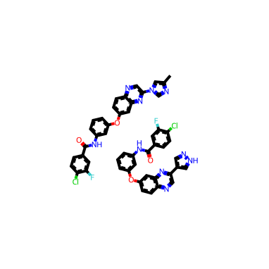 Cc1cn(-c2cnc3ccc(Oc4cccc(NC(=O)c5ccc(Cl)c(F)c5)c4)cc3n2)cn1.O=C(Nc1cccc(Oc2ccc3ncc(-c4cn[nH]c4)nc3c2)c1)c1ccc(Cl)c(F)c1